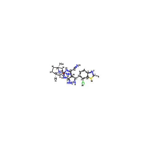 Cc1nc2ccc(-c3n[nH]c4nc(N5[C@@H]6CC[C@H]5CC(N)C6)nc(C#N)c34)c(Cl)c2s1